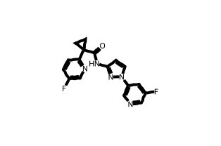 O=C(Nc1ccn(-c2cncc(F)c2)n1)C1(c2ccc(F)cn2)CC1